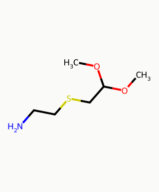 COC(CSCCN)OC